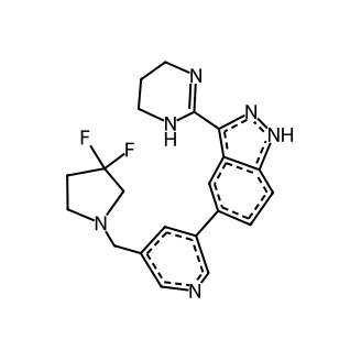 FC1(F)CCN(Cc2cncc(-c3ccc4[nH]nc(C5=NCCCN5)c4c3)c2)C1